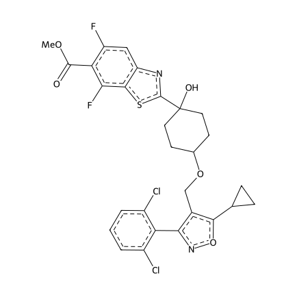 COC(=O)c1c(F)cc2nc(C3(O)CCC(OCc4c(-c5c(Cl)cccc5Cl)noc4C4CC4)CC3)sc2c1F